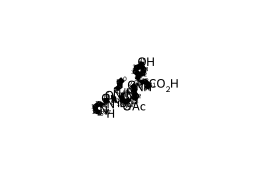 C=CCCN(C(=O)[C@@H](NC(=O)[C@H]1CCCCN1C)C(C)CC)[C@H](C[C@@H](OC(C)=O)c1nc(C(=O)N[C@@H](Cc2ccc(O)cc2)C[C@H](C)C(=O)O)cs1)C(C)C